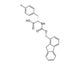 O=C(N[C@@H](Cc1ccc(I)cc1)C(=O)O)OCc1cccc2c1Cc1ccccc1-2